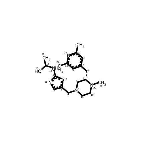 Cc1cc(C[C@H]2CN(Cc3cnc(NC(C)O)s3)CCN2C)cc(C)n1